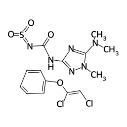 CN(C)c1nc(NC(=O)N=S(=O)=O)nn1C.ClC=C(Cl)Oc1ccccc1